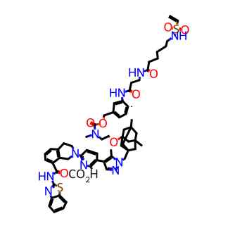 C=CS(=O)(=O)NCCCCCC(=O)NCCC(=O)Nc1[c]ccc(COC(=O)N(C)CCOC23CC4(C)CC(C)(CC(Cn5ncc(-c6ccc(N7CCc8cccc(C(=O)Nc9nc%10ccccc%10s9)c8C7)nc6C(=O)O)c5C)(C4)C2)C3)c1